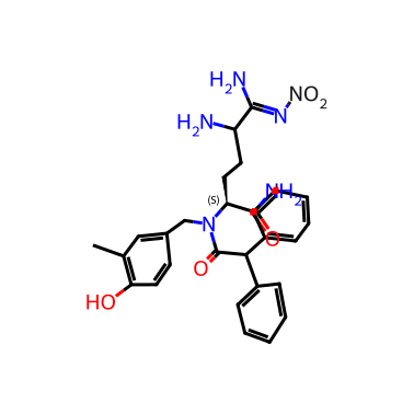 Cc1cc(CN(C(=O)C(c2ccccc2)c2ccccc2)[C@@H](CCC(N)C(N)=N[N+](=O)[O-])C(N)=O)ccc1O